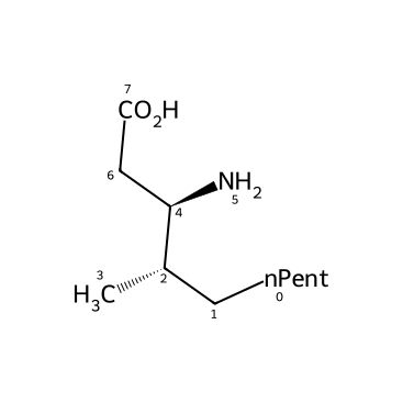 CCCCCC[C@H](C)[C@H](N)CC(=O)O